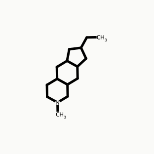 CCC1CC2CC3CCN(C)CC3CC2C1